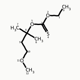 CCOC(=S)OC(C)(C)CCOC